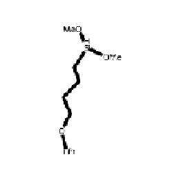 CCCOCCCC[SiH](OC)OC